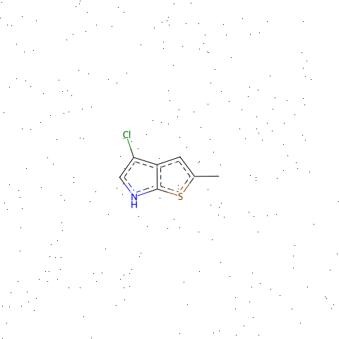 Cc1cc2c(Cl)c[nH]c2s1